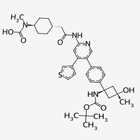 CN(C(=O)O)[C@H]1CC[C@H](CC(=O)Nc2cc(-c3ccsc3)c(-c3ccc([C@]4(NC(=O)OC(C)(C)C)C[C@](C)(O)C4)cc3)cn2)CC1